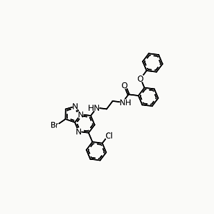 O=C(NCCNc1cc(-c2ccccc2Cl)nc2c(Br)cnn12)c1ccccc1Oc1ccccc1